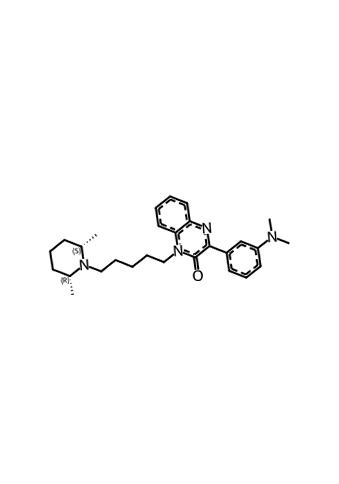 C[C@@H]1CCC[C@H](C)N1CCCCCn1c(=O)c(-c2cccc(N(C)C)c2)nc2ccccc21